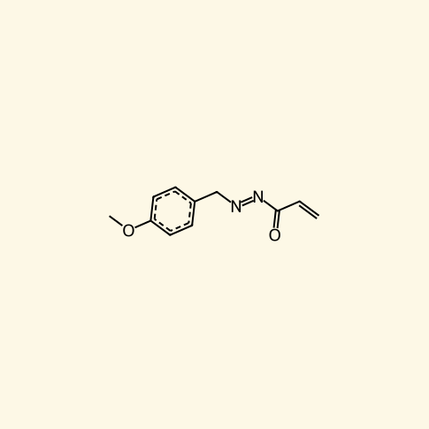 C=CC(=O)N=NCc1ccc(OC)cc1